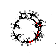 COc1cc2ccc1CSC[C@H]1O[C@@H]3O[C@H]4C(O)C(O)[C@H](O[C@@H]4CO)O[C@H]4C(O)C(O)[C@H](O[C@@H]4CO)O[C@H]4C(O)C(O)[C@H](O[C@@H]4CSCc4ccc-2cc4OC)O[C@H]2C(O)C(O)[C@H](O[C@@H]2CO)O[C@H]2C(O)C(O)[C@H](O[C@@H]2CO)O[C@H]2C(O)C(O)[C@H](O[C@@H]2CO)O[C@H]1C(O)C3O